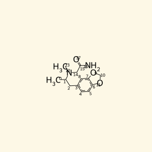 CC(Cc1ccc2c(c1)OCO2)N(C)CC(N)=O